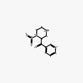 O=C(c1cccnc1)C1CNCCN1[S](=O)=O